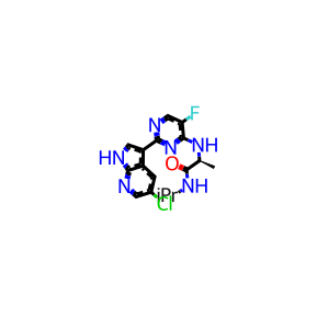 CC(C)NC(=O)[C@H](C)Nc1nc(-c2c[nH]c3ncc(Cl)cc23)ncc1F